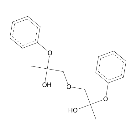 CC(O)(COCC(C)(O)Oc1ccccc1)Oc1ccccc1